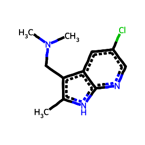 Cc1[nH]c2ncc(Cl)cc2c1CN(C)C